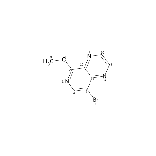 COc1ncc(Br)c2nccnc12